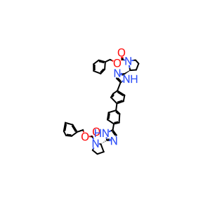 O=C(OCc1ccccc1)N1CCC[C@H]1c1ncc(-c2ccc(-c3ccc(-c4cnc([C@@H]5CCCN5C(=O)OCc5ccccc5)[nH]4)cc3)cc2)[nH]1